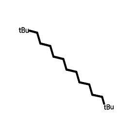 CC(C)(C)CCCCCCCCCCCC(C)(C)C